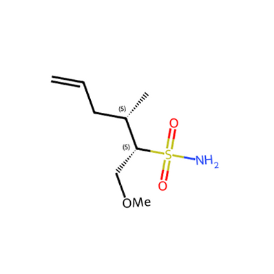 C=CC[C@H](C)[C@@H](COC)S(N)(=O)=O